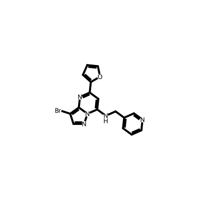 Brc1cnn2c(NCc3cccnc3)cc(-c3ccco3)nc12